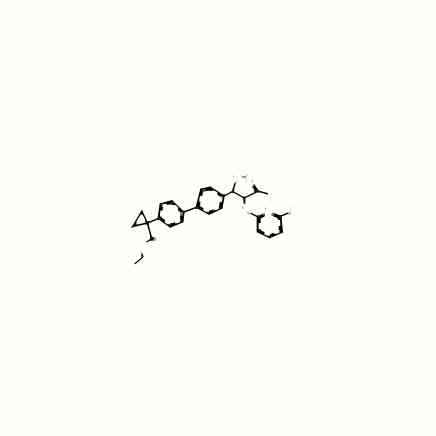 CCOC(=O)C1(c2ccc(-c3ccc(C4ON=C(C)C4Nc4cccc(Br)n4)cc3)cc2)CC1